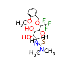 COc1ccccc1CO[C@H](C1O[C@@H]2SC(N(C)C)=N[C@@H]2[C@@H](O)[C@@H]1O)C(F)(F)F